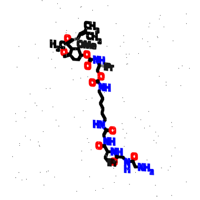 COC1C(OC(=O)N[C@@H](COC(=O)NCCCCCCNC(=O)CNC(=O)[C@H](CC(C)C)NC(=O)CNC(=O)CN)C(C)C)CC[C@]2(CO2)C1C1(C)O[C@@H]1CC=C(C)C